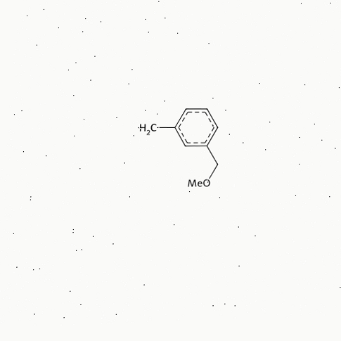 [CH2]c1cccc(COC)c1